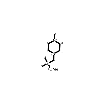 CO[Si](C)(C)CN1CCN(C)CC1